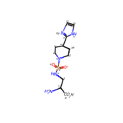 NC(CNS(=O)(=O)N1CCC(c2ncc[nH]2)CC1)C(=O)O